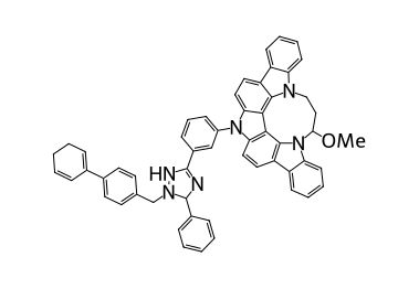 COC1CCn2c3ccccc3c3ccc4c(c5c(ccc6c7ccccc7n1c65)n4-c1cccc(C4=NC(c5ccccc5)N(Cc5ccc(C6=CCCC=C6)cc5)N4)c1)c32